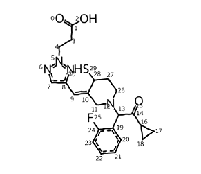 O=C(O)CCn1ncc(/C=C2/CN(C(C(=O)C3CC3)c3ccccc3F)CCC2S)n1